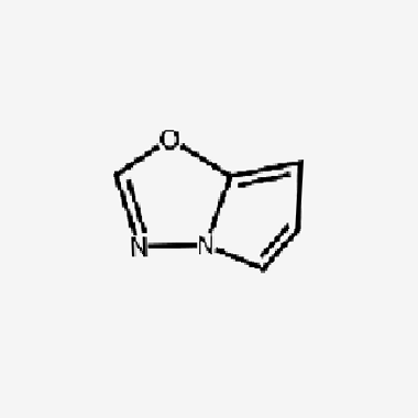 c1cc2ocnn2c1